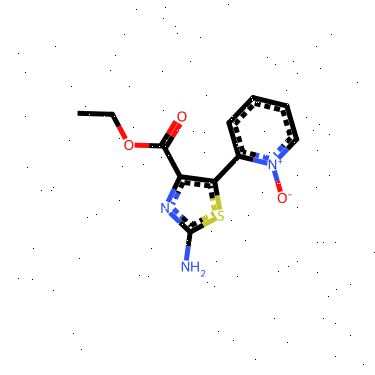 CCOC(=O)c1nc(N)sc1-c1cccc[n+]1[O-]